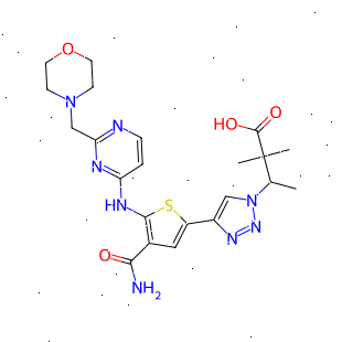 CC(n1cc(-c2cc(C(N)=O)c(Nc3ccnc(CN4CCOCC4)n3)s2)nn1)C(C)(C)C(=O)O